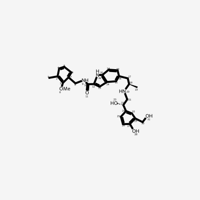 COc1c(C)cccc1CNC(=O)c1cc2cc(C[C@@H](C)NC[C@@H](O)c3ccc(O)c(CO)c3)ccc2[nH]1